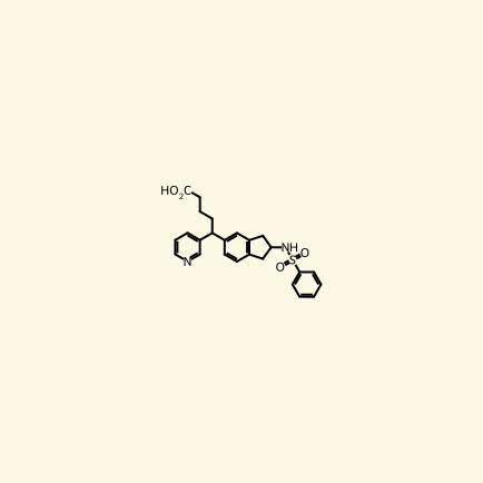 O=C(O)CCCC(c1cccnc1)c1ccc2c(c1)CC(NS(=O)(=O)c1ccccc1)C2